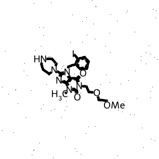 COCCOCCn1c(=O)c2c(nc(N3CCCNCC3)n2Cc2ccccc2I)n(C)c1=O